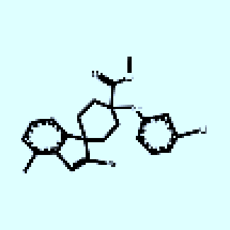 COC(=O)C1(Nc2cccc(Cl)c2)CCC2(CC1)C(Br)=Cc1c(C)cccc12